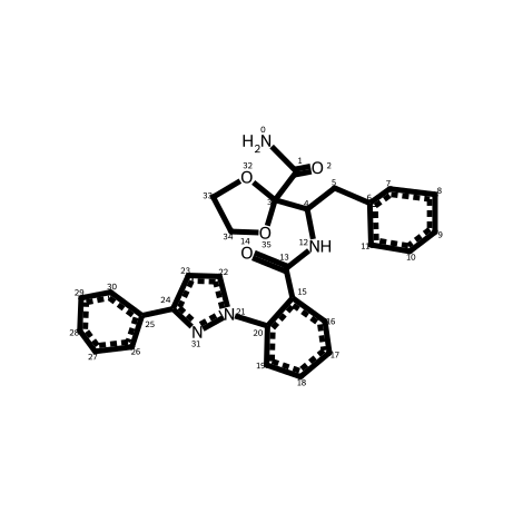 NC(=O)C1(C(Cc2ccccc2)NC(=O)c2ccccc2-n2ccc(-c3ccccc3)n2)OCCO1